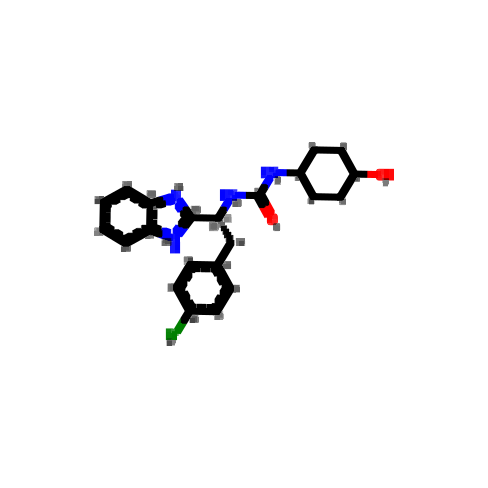 O=C(NC1CCC(O)CC1)N[C@H](Cc1ccc(Br)cc1)c1nc2ccccc2[nH]1